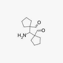 NC(C1(C=O)CCCC1)C1(C=O)CCCC1